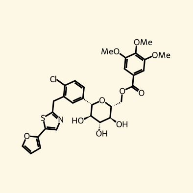 COc1cc(C(=O)OC[C@H]2O[C@@H](c3ccc(Cl)c(Cc4ncc(-c5ccco5)s4)c3)[C@H](O)[C@@H](O)[C@@H]2O)cc(OC)c1OC